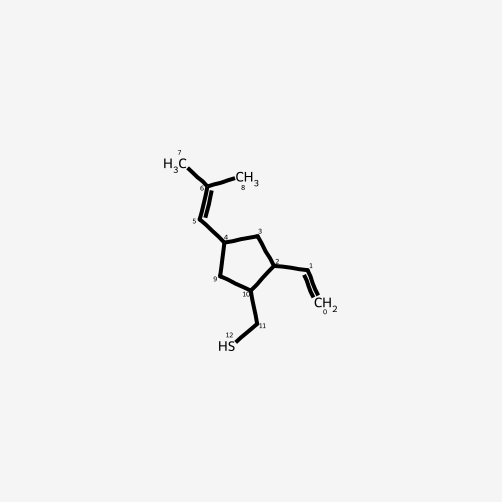 C=CC1CC(C=C(C)C)CC1CS